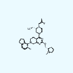 CC(F)=CN1CCN(c2nc(OC[C@@H]3CCCN3C)nc3c2CCN(c2c(F)ccc4c2CCC4)C3)C[C@@H]1CC#N